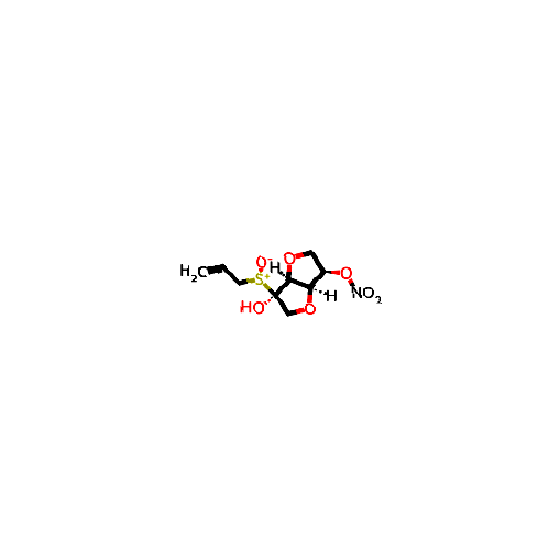 C=CC[S@@+]([O-])[C@]1(O)CO[C@@H]2[C@H](O[N+](=O)[O-])CO[C@@H]21